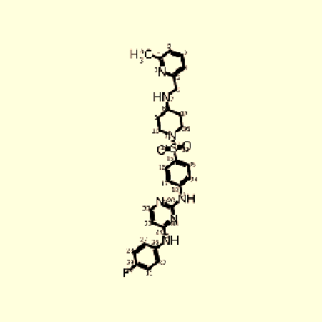 Cc1cccc(CNC2CCN(S(=O)(=O)c3ccc(Nc4nccc(Nc5ccc(F)cc5)n4)cc3)CC2)n1